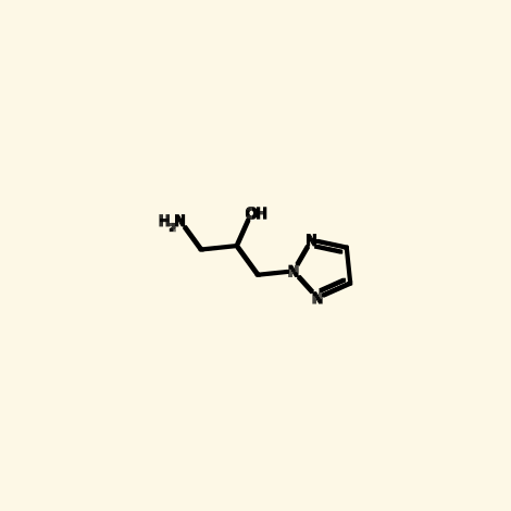 NCC(O)Cn1nccn1